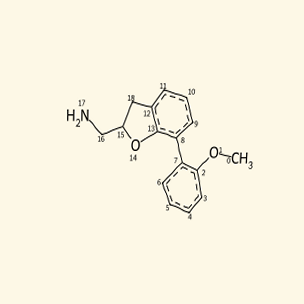 COc1ccccc1-c1cccc2c1OC(CN)C2